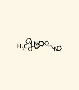 CC1CCCCN1C(=O)c1ccc2cc(OCCCN3CCCCC3)ccc2n1